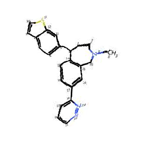 CN1CCC(c2ccc3ccsc3c2)c2ccc(-c3cccnn3)cc2C1